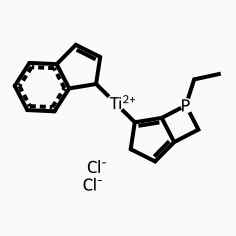 CCP1CC2=CC[C]([Ti+2][CH]3C=Cc4ccccc43)=C21.[Cl-].[Cl-]